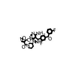 Cc1oncc1C(=O)N1CCCC(N2NC(c3ccc(C(=O)c4cccc(F)c4)cc3F)c3c(N)ncnc32)C1